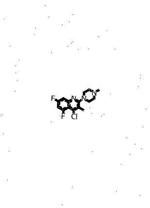 Cc1c(N2CCN(C)CC2)nc2cc(F)cc(F)c2c1Cl